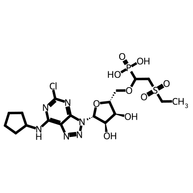 CCS(=O)(=O)CC(OC[C@H]1O[C@@H](n2nnc3c(NC4CCCC4)nc(Cl)nc32)[C@H](O)[C@@H]1O)P(=O)(O)O